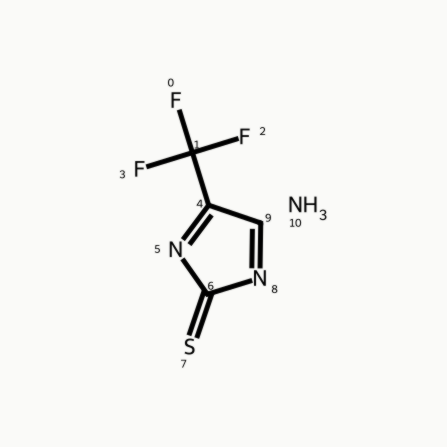 FC(F)(F)C1=NC(=S)N=C1.N